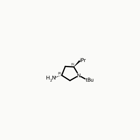 CC(C)[C@@H]1C[C@@H](N)CN1C(C)(C)C